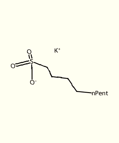 CCCCCCCCCS(=O)(=O)[O-].[K+]